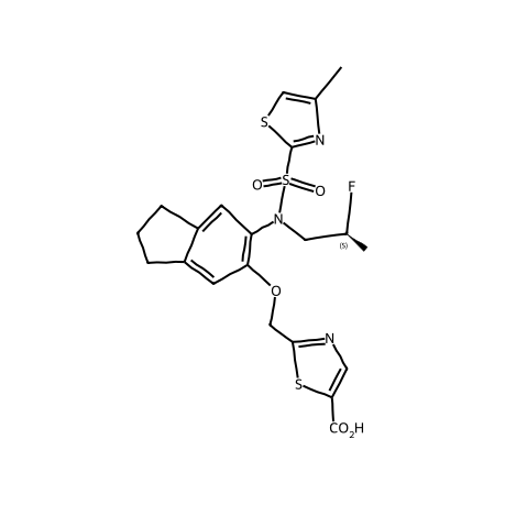 Cc1csc(S(=O)(=O)N(C[C@H](C)F)c2cc3c(cc2OCc2ncc(C(=O)O)s2)CCC3)n1